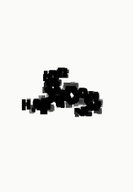 CCNc1cc2c(cn1)c(-c1cnn(C)c1)nn2[C@H]1CC[C@@H](Oc2cc(C#N)ccn2)CC1